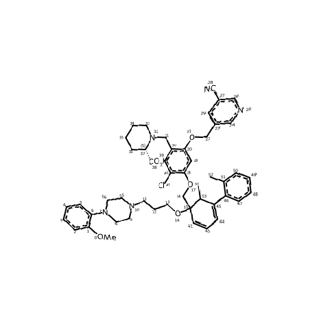 COc1ccccc1N1CCN(CCCOC2(COc3cc(OCc4cncc(C#N)c4)c(CN4CCCC[C@H]4C(=O)O)cc3Cl)C=CC=C(c3ccccc3C)C2C)CC1